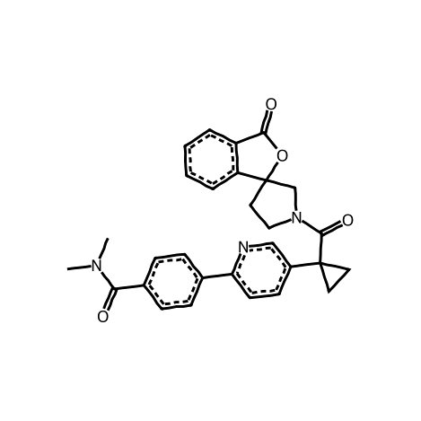 CN(C)C(=O)c1ccc(-c2ccc(C3(C(=O)N4CCC5(C4)OC(=O)c4ccccc45)CC3)cn2)cc1